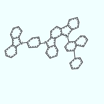 c1ccc(-c2ccc(-n3c4ccccc4c4ccc5c(c6ccccc6n5-c5ccc(-n6c7ccccc7c7ccccc76)cc5)c43)c3ccccc23)cc1